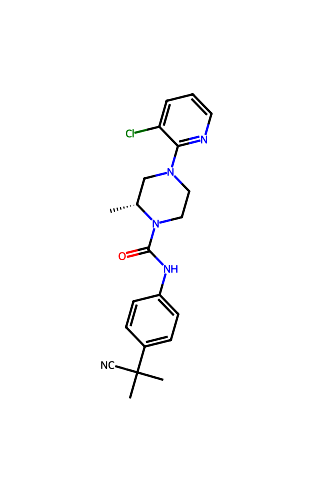 C[C@@H]1CN(c2ncccc2Cl)CCN1C(=O)Nc1ccc(C(C)(C)C#N)cc1